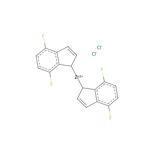 Fc1ccc(F)c2c1C=C[CH]2[Zr+2][CH]1C=Cc2c(F)ccc(F)c21.[Cl-].[Cl-]